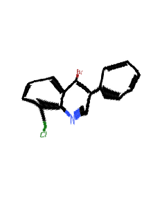 Clc1cccc2c(Br)c(-c3ccccc3)cnc12